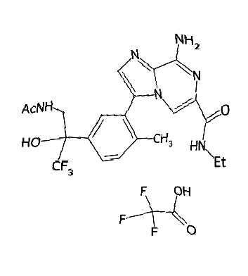 CCNC(=O)c1cn2c(-c3cc(C(O)(CNC(C)=O)C(F)(F)F)ccc3C)cnc2c(N)n1.O=C(O)C(F)(F)F